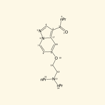 CCCC(=O)c1cnn2ccc(OCCN(CCC)CCC)cc12